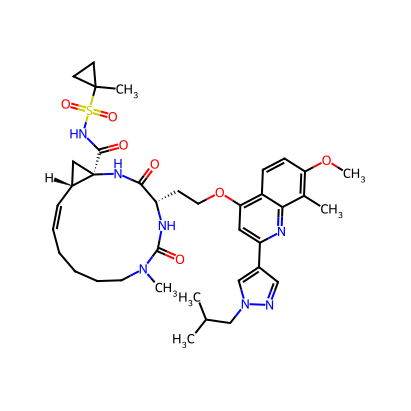 COc1ccc2c(OCC[C@@H]3NC(=O)N(C)CCCCC=C[C@@H]4C[C@@]4(C(=O)NS(=O)(=O)C4(C)CC4)NC3=O)cc(-c3cnn(CC(C)C)c3)nc2c1C